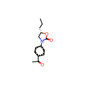 CCC[C@H]1CN(c2ccc(C(C)=O)cc2)C(=O)O1